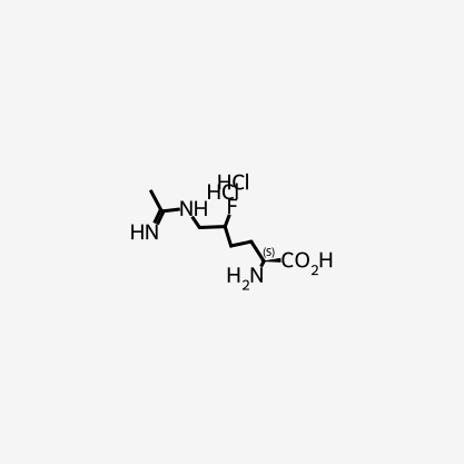 CC(=N)NCC(F)CC[C@H](N)C(=O)O.Cl.Cl